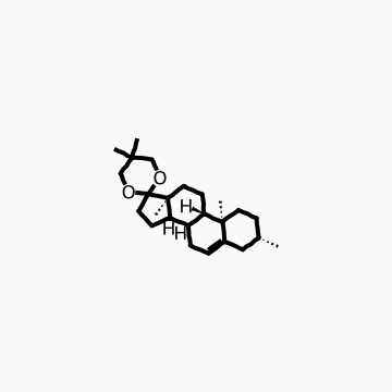 C[C@H]1CC[C@@]2(C)C(=CC[C@@H]3[C@@H]2CC[C@@]2(C)[C@H]3CCC23OCC(C)(C)CO3)C1